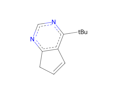 CC(C)(C)c1ncnc2c1C=CC2